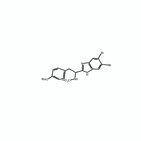 COc1ccc(CC(NC(=O)O)c2nc3cc(Br)c(Br)cc3[nH]2)cc1